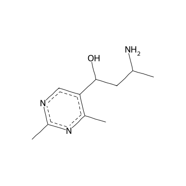 Cc1ncc(C(O)CC(C)N)c(C)n1